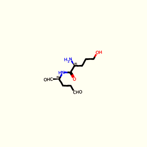 N[C@@H](CCCO)C(=O)N[C@H](C=O)CCC=O